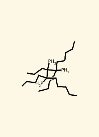 CCCCCC(P)(CCCC)C(P)(CCC)C(P)(CCCC)CCCCC